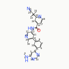 CNc1cc(-c2cccc(-c3cc(NC(=O)c4ccnc(C(C)(C)C#N)c4)cnc3C)c2)ncn1